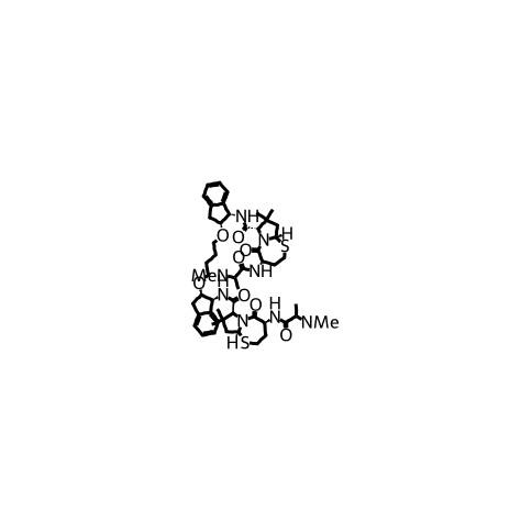 CNC(C)C(=O)N[C@H]1CCS[C@H]2CC(C)(C)[C@@H](C(=O)N[C@H]3c4ccccc4C[C@H]3OCCCCO[C@@H]3Cc4ccccc4[C@@H]3NC(=O)[C@H]3N4C(=O)[C@@H](NC(=O)C(C)NC)CCS[C@H]4CC3(C)C)N2C1=O